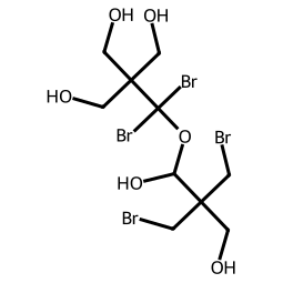 OCC(CBr)(CBr)C(O)OC(Br)(Br)C(CO)(CO)CO